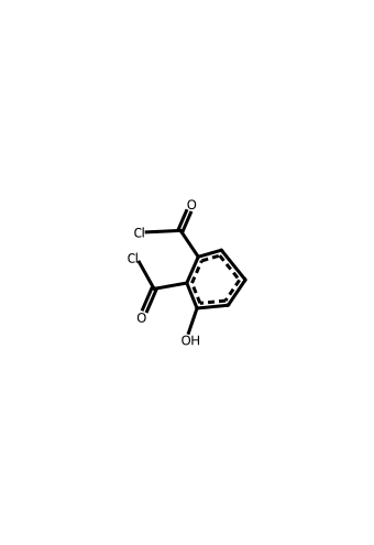 O=C(Cl)c1cccc(O)c1C(=O)Cl